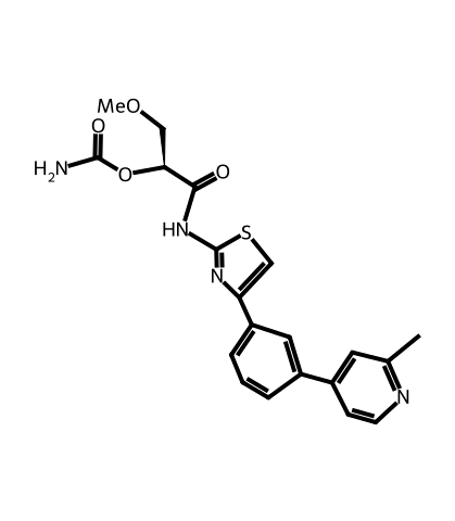 COC[C@H](OC(N)=O)C(=O)Nc1nc(-c2cccc(-c3ccnc(C)c3)c2)cs1